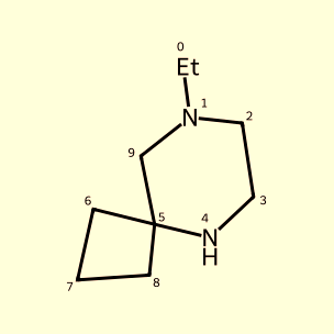 CCN1CCNC2(CCC2)C1